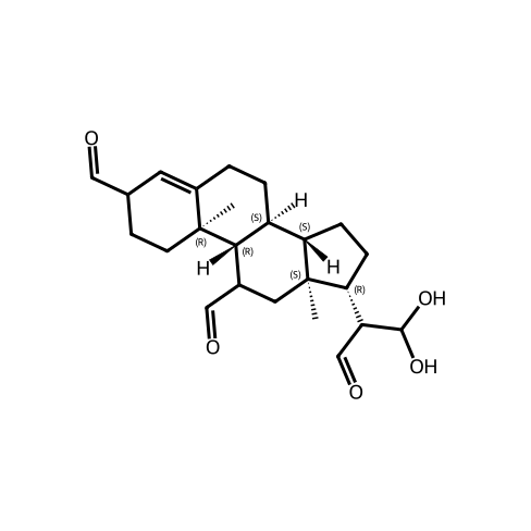 C[C@]12CC(C=O)[C@H]3[C@@H](CCC4=CC(C=O)CC[C@@]43C)[C@@H]1CC[C@@H]2C(C=O)C(O)O